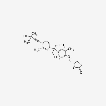 CCC(CC)(c1ccc(C#CC(C)(C)O)c(C)c1)c1ccc(OC[C@@H]2CCC(=O)O2)c(C)c1